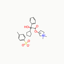 C[N+]1(C)CC[C@H](OC(=O)[C@@](O)(c2ccccc2)C2CCCC2)C1.Cc1ccc(S(=O)(=O)[O-])cc1